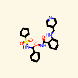 O=C(NOC(NS(=O)(=O)c1ccccc1)c1ccccc1)c1ccccc1NCc1ccncc1